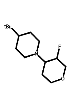 CC(C)(C)C1CCN(C2CCOCC2F)CC1